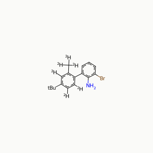 [2H]c1c([2H])c(C(C)(C)C)c([2H])c(C([2H])([2H])[2H])c1-c1cccc(Br)c1N